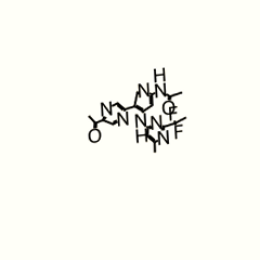 CC(=O)Nc1cc(Nc2cc(C)nc(C(C)(F)F)n2)c(-c2cnc(C(C)=O)cn2)cn1